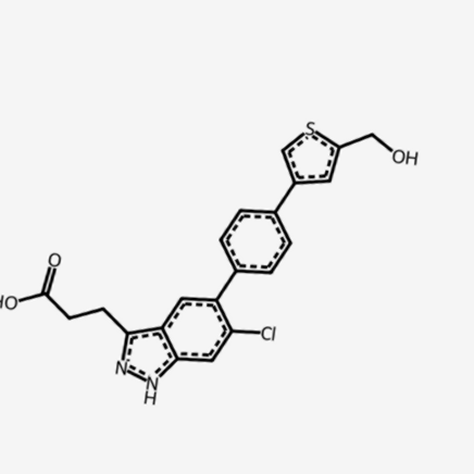 O=C(O)CCc1n[nH]c2cc(Cl)c(-c3ccc(-c4csc(CO)c4)cc3)cc12